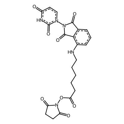 O=C(CCCCCNc1cccc2c1C(=O)N(n1ccc(=O)[nH]c1=O)C2=O)ON1C(=O)CCC1=O